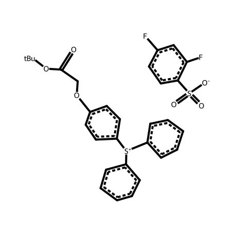 CC(C)(C)OC(=O)COc1ccc([S+](c2ccccc2)c2ccccc2)cc1.O=S(=O)([O-])c1ccc(F)cc1F